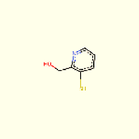 OCc1ncccc1S